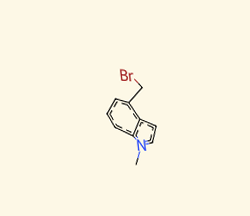 Cn1ccc2c(CBr)cccc21